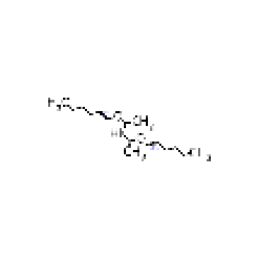 CCCC/C=C/OC(C)NC(C)O/C=C/CCCC